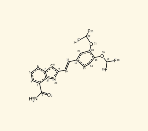 NC(=O)c1cccc2sc(/C=C/c3ccc(OC(F)F)c(OC(F)F)c3)nc12